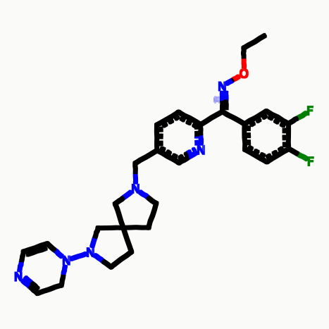 CCO/N=C(\c1ccc(F)c(F)c1)c1ccc(CN2CCC3(CCN(N4C=CN=CC4)C3)C2)cn1